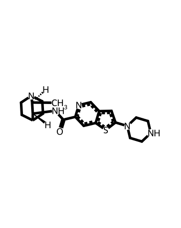 C[C@H]1[C@H](NC(=O)c2cc3sc(N4CCNCC4)cc3cn2)C2CCN1CC2